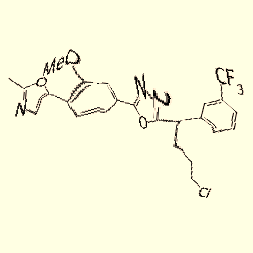 COc1cc(-c2nnc(C(CCCCl)c3cccc(C(F)(F)F)c3)o2)ccc1-c1cnc(C)o1